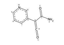 NC(=O)C(=C=O)c1cccnc1